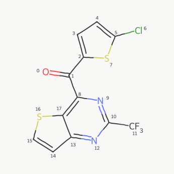 O=C(c1ccc(Cl)s1)c1nc(C(F)(F)F)nc2ccsc12